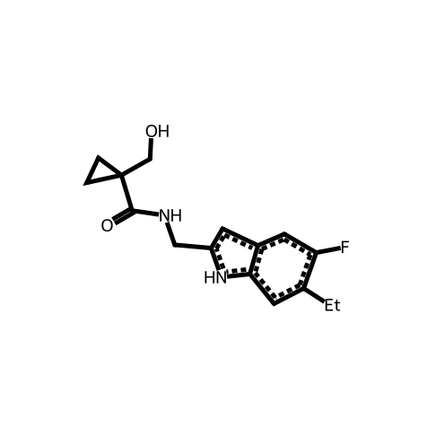 CCc1cc2[nH]c(CNC(=O)C3(CO)CC3)cc2cc1F